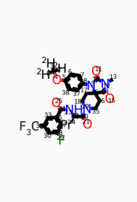 [2H]C([2H])([2H])Oc1ccc(N2C(=O)N(C)C(=O)C23CCN(C(=O)[C@H](NC(=O)c2cc(F)cc(C(F)(F)F)c2)C(C)C)CC3)cc1